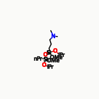 CCC[Si](OC)(OC(C)C)O[Si](CCCN(C)C)(OC)OC(C)C